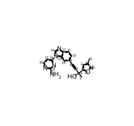 Cc1cc(C(C)(O)C#Cc2ccc3ncn(-c4ccnc(N)n4)c3c2)on1